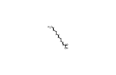 CC=CCCC=CCCC=CC(=O)O